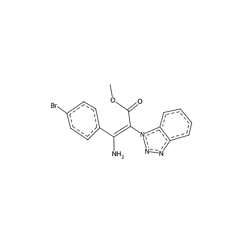 COC(=O)C(=C(N)c1ccc(Br)cc1)n1nnc2ccccc21